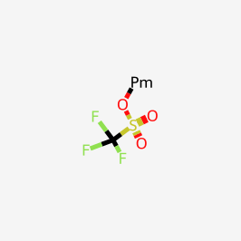 O=S(=O)([O][Pm])C(F)(F)F